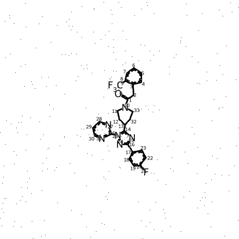 O=C(Cc1ccccc1C(F)(F)F)N1CCC(c2nc(-c3ccc(F)cc3)nn2-c2ncccn2)CC1